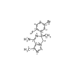 Cc1ncn2c1C(N)=N[C@](C)(c1cc(Br)ccc1F)C2